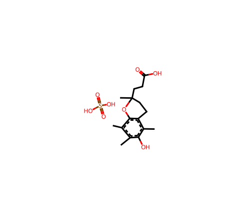 Cc1c(C)c2c(c(C)c1O)CCC(C)(CCC(=O)O)O2.O=S(=O)(O)O